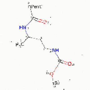 CCCCCC(=O)NC(C)CCNC(=O)OC(C)(C)C